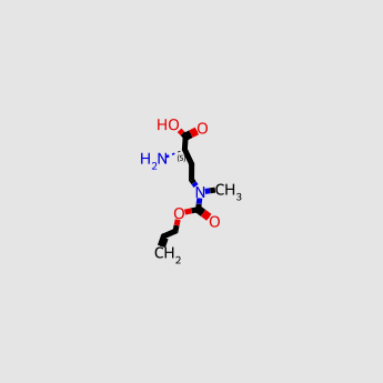 C=CCOC(=O)N(C)CC[C@H](N)C(=O)O